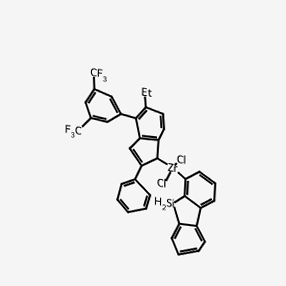 CCc1ccc2c(c1-c1cc(C(F)(F)F)cc(C(F)(F)F)c1)C=C(c1ccccc1)[CH]2[Zr]([Cl])([Cl])[c]1cccc2c1[SiH2]c1ccccc1-2